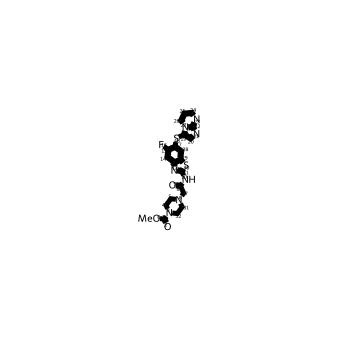 COC(=O)N1CCN(CC(=O)Nc2nc3cc(F)c(Sc4cnc5ncccn45)cc3s2)CC1